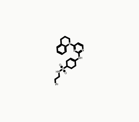 CC(C)CCNS(=O)(=O)C1CC=C(Nc2nccc(N3CCCc4ccccc43)n2)CC1